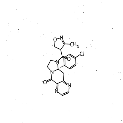 CC1=NOCC1C(=O)N1CCN2C(=O)c3nccnc3C[C@@]21c1ccc(Cl)cc1